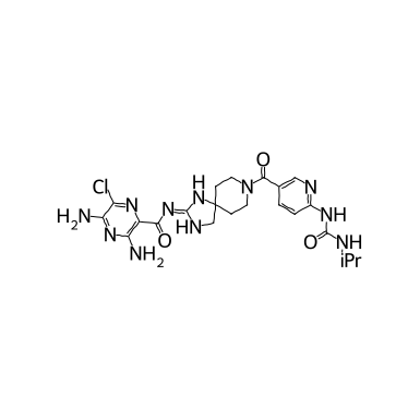 CC(C)NC(=O)Nc1ccc(C(=O)N2CCC3(CC2)CN/C(=N\C(=O)c2nc(Cl)c(N)nc2N)N3)cn1